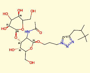 CC(=O)NC1[C@@H](OCCCn2cc(CC(C)C(C)(C)C)nn2)OC(CO)[C@H](O)[C@@H]1O[C@@H]1OC(CO)[C@H](O)C(O)[C@@H]1O